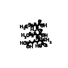 C=C(CCCCCC(O)O)C(=O)O.CSCC[C@H](N)C(=O)O.CSCC[C@H](N)C(=O)O